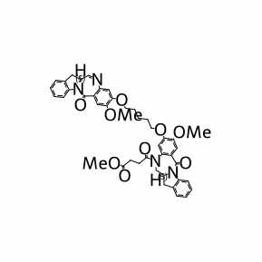 COC(=O)CCC(=O)N1C[C@@H]2Cc3ccccc3N2C(=O)c2cc(OC)c(OCCCCCOc3cc4c(cc3OC)C(=O)N3c5ccccc5C[C@H]3C=N4)cc21